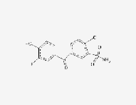 NS(=O)(=O)c1cc(C(=O)c2ccc(O)c(F)c2)ccc1Cl